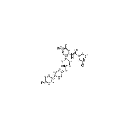 Cc1cc(NC(=O)c2ccnc(Cl)c2)c(C2CCN(Cc3ccc(-c4ccc(F)cc4)cc3)CC2)nc1Br